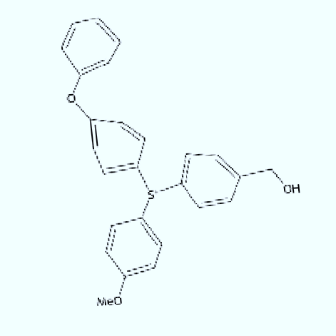 COc1ccc([S+](c2ccc(CO)cc2)c2ccc(Oc3ccccc3)cc2)cc1